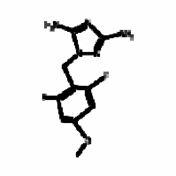 COc1cc(F)c(Cn2nc(N)nc2N)c(F)c1